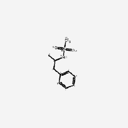 CC(Cc1ccccc1)NS(=O)(=O)C(F)(F)F